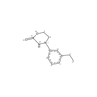 CCc1cccc(N2CCOC(=O)N2)c1